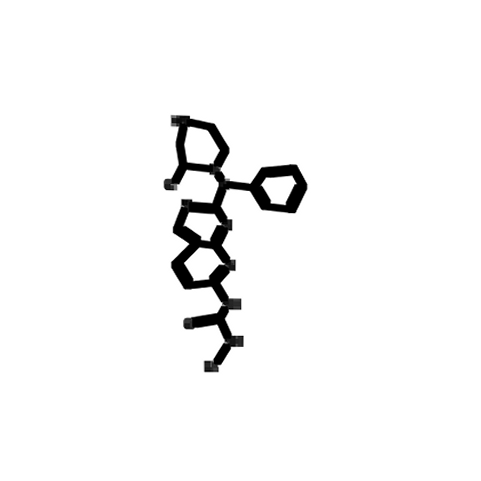 CCNC(=O)Nc1ccc2cnc(N(c3ccccc3)N3CCNCC3Cl)nc2n1